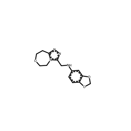 c1cc2c(cc1NCc1nnc3n1CCOCC3)OCO2